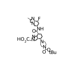 Cc1cn2cc(NC(=O)c3ccc(N4CCN(C(=O)OC(C)(C)C)CC4)c4cn(CC(=O)O)nc34)cc(F)c2n1